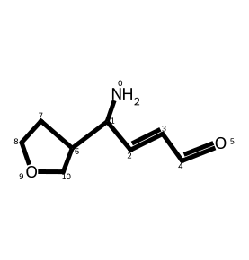 NC(C=CC=O)C1CCOC1